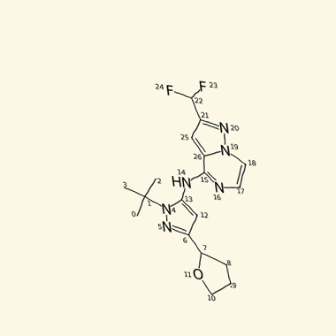 CC(C)(C)n1nc(C2C[CH]CO2)cc1Nc1nccn2nc(C(F)F)cc12